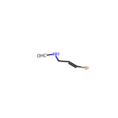 O=CNC/C=C/Br